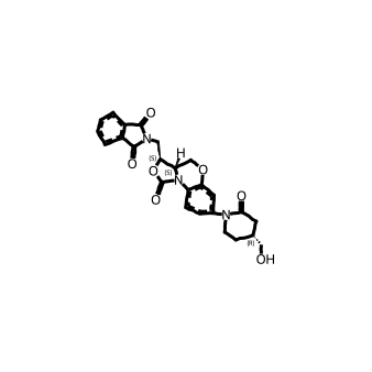 O=C1c2ccccc2C(=O)N1C[C@@H]1OC(=O)N2c3ccc(N4CC[C@@H](CO)CC4=O)cc3OC[C@@H]12